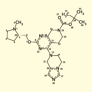 CN1CCC[C@H]1COc1nc2c(c(N3CCn4cncc4C3)n1)CCN(C(=O)OC(C)(C)C)C2